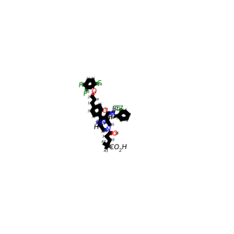 CCN(Cc1ccccc1Cl)C(=O)C1=C(c2ccc(CCCOc3c(F)ccc(F)c3F)cc2)C[C@@H]2CN(C(=O)CCC(C)(C)C(=O)O)C[C@H]1N2